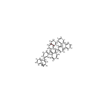 c1ccc(-c2cccc(-c3ccccc3)c2-c2cccc(-c3c4ccccc4c(-c4cccc(-c5ccnc6ccccc56)c4)c4ccccc34)c2)cc1